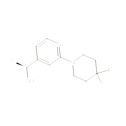 CC[C@H](N)c1ccnc(N2CCC(F)(F)CC2)c1